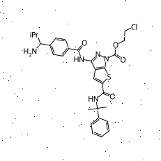 CC(C)C(N)c1ccc(C(=O)Nc2nn(C(=O)OCCCl)c3sc(C(=O)NC(C)(C)c4ccccc4)cc23)cc1